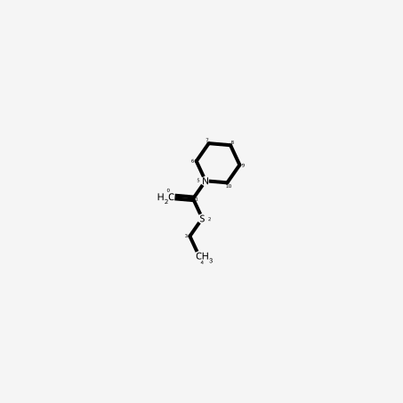 C=C(SCC)N1CCCCC1